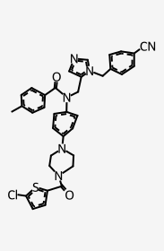 Cc1ccc(C(=O)N(Cc2cncn2Cc2ccc(C#N)cc2)c2ccc(N3CCN(C(=O)c4ccc(Cl)s4)CC3)cc2)cc1